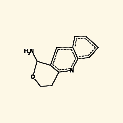 NC1OCCc2nc3ccccc3cc21